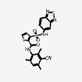 Cc1cc(C)c(NC(=O)c2sccc2S(=O)(=O)Nc2ccc3nsnc3c2)c(C)c1C#N